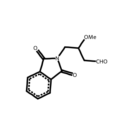 COC(CC=O)CN1C(=O)c2ccccc2C1=O